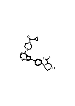 O=C(C1CC1)N1CCN(c2ccnn3cc(-c4ccc(N5CCNCC5C(F)F)cc4)cc23)CC1